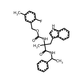 Cc1ccc(F)c(COC(=O)NC(C)(Cc2c[nH]c3ccccc23)C(=O)NC(C)c2ccccc2)c1